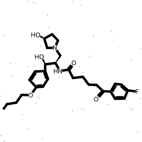 CCCCOc1ccc([C@@H](O)[C@@H](CN2CC[C@H](O)C2)NC(=O)CCCCC(=O)c2ccc(F)cc2)cc1